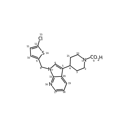 O=C(O)N1CCC(c2cn(Cc3ccc(Cl)s3)c3ncccc23)CC1